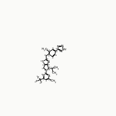 Cc1cc(C(F)(F)F)nc(N2Cc3sc(Cc4ccc(-c5nn[nH]n5)cc4C)nc3[C@H]2C(C)C)n1